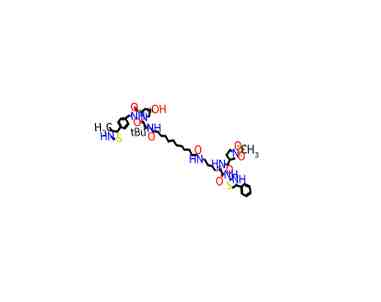 CC1NCSC1c1ccc(CNC(=O)[C@@H]2C[C@@H](O)CN2C(=O)[C@@H](NC(=O)CCCCCCCCCCC(=O)NCCCC[C@H](NC(=O)C2CCN(S(C)(=O)=O)C2)C(=O)NC2NC(c3ccccc3)CS2)C(C)(C)C)cc1